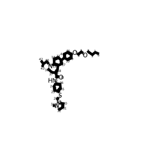 CCCCOCCOc1ccc(-c2ccc3c(c2)C=C(C(=O)Nc2ccc(SCN4C=CCN4C)cc2)CCN3CC(C)C)cc1